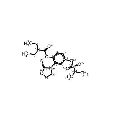 CCN(CC)C(=O)Oc1ccc(OS(=O)(=O)N(C)C)cc1N1CCOC1=O